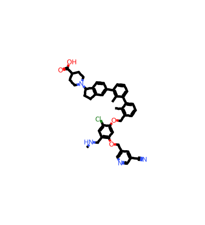 CNCc1cc(Cl)c(OCc2cccc(-c3cccc(-c4ccc5c(c4)CCC5N4CCC(C(=O)O)CC4)c3C)c2C)cc1OCc1cncc(C#N)c1